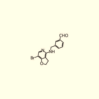 O=Cc1cccc(CNc2ncc(Br)c3c2CCO3)c1